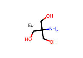 NC(CO)(CO)CO.[Eu]